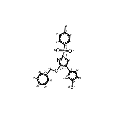 Cc1ccc(S(=O)(=O)n2cc(-c3ccc(Br)s3)c(OCc3ccccc3)n2)cc1